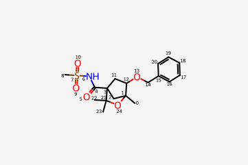 CC12CC(C(=O)NS(C)(=O)=O)(CC1OCc1ccccc1)C(C)(C)O2